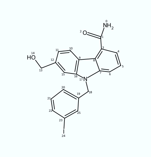 NC(=O)c1cccc2c1c1[c]cc(CO)cc1n2Cc1cccc(I)c1